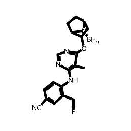 BN1C2CCC1C(Oc1ncnc(Nc3ccc(C#N)cc3CF)c1C)C2